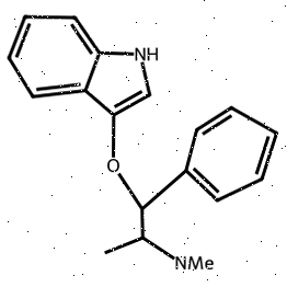 CNC(C)C(Oc1c[nH]c2ccccc12)c1ccccc1